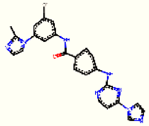 Cc1nccn1-c1cc(NC(=O)c2ccc(Nc3nccc(-n4ccnc4)n3)cc2)cc(C(F)(F)F)c1